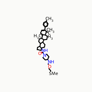 CSCCOCNC1CCN(C(=O)NC23CCCC2C2CCC4C(CCC5C(C)(C)C(c6ccc(C)cc6)=CCC45C)C2CC3)CC1